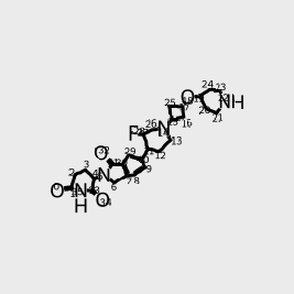 O=C1CCC(N2Cc3ccc(C4CCN(C5CC(OC6CCNCC6)C5)CC4F)cc3C2=O)C(=O)N1